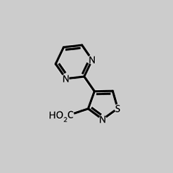 O=C(O)c1nscc1-c1ncccn1